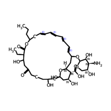 CCCC1C/C=C/C=C/C=C/C=C/C(OC2OC[C@@H](O)[C@H](N)[C@@H]2O)C[C@@H]2OC(O)(CC(O)CCCC(=O)CC(O)C(CC)C(=O)O1)C[C@H](O)[C@H]2C(=O)O